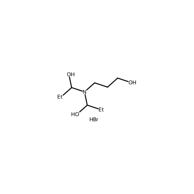 Br.CCC(O)N(CCCO)C(O)CC